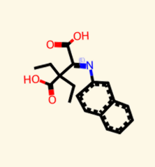 CCC(CC)(C(=O)O)/C(=N\c1ccc2ccccc2c1)C(=O)O